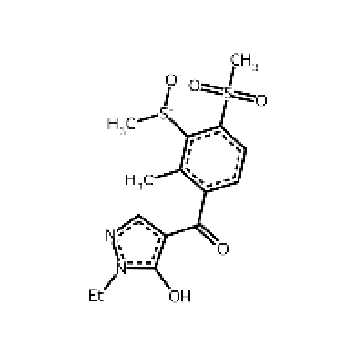 CCn1ncc(C(=O)c2ccc(S(C)(=O)=O)c([S+](C)[O-])c2C)c1O